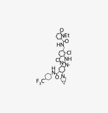 CCn1c(C(=O)NCc2ccc(Cl)c(Nc3nc4cc(C(=O)N[C@H]5CC[C@H](C(F)(F)F)CC5)c(N5CC6CC6C5)cc4n3C)c2Cl)cccc1=O